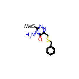 CSc1nnc(CSCc2ccccc2)c(=O)n1N